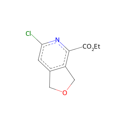 CCOC(=O)c1nc(Cl)cc2c1COC2